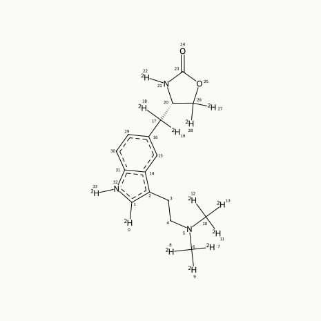 [2H]c1c(CCN(C([2H])([2H])[2H])C([2H])([2H])[2H])c2cc(C([2H])([2H])[C@@H]3N([2H])C(=O)OC3([2H])[2H])ccc2n1[2H]